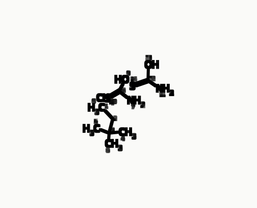 C.CCC(C)(C)C.NC(O)=S.NC(O)=S